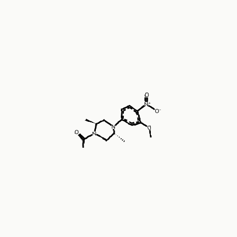 COc1cc(N2C[C@H](C)N(C(C)=O)C[C@H]2C)ccc1[N+](=O)[O-]